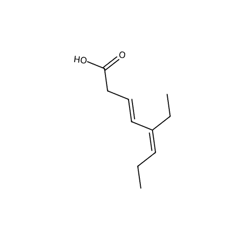 CCC=C(C=CCC(=O)O)CC